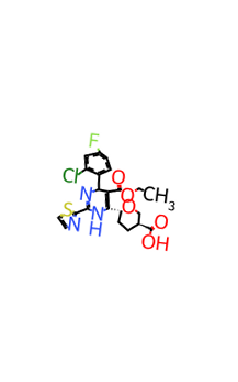 CCOC(=O)C1=C([C@H]2CC[C@H](C(=O)O)CO2)NC(c2nccs2)=NC1c1ccc(F)cc1Cl